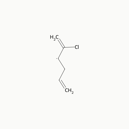 C=CC[CH]C(=C)Cl